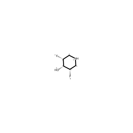 O[C@@H]1[C@H](F)CNC[C@@H]1F